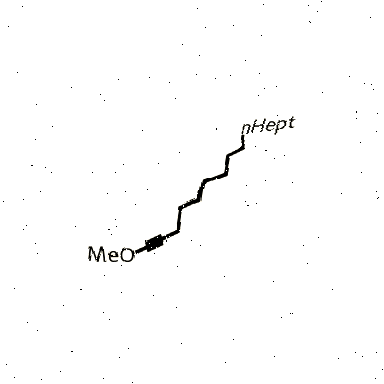 CCCCCCCCCCCCCCC#COC